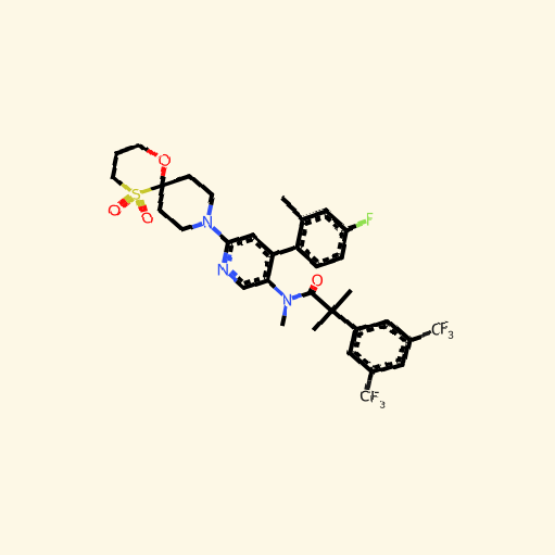 Cc1cc(F)ccc1-c1cc(N2CCC3(CC2)OCCCS3(=O)=O)ncc1N(C)C(=O)C(C)(C)c1cc(C(F)(F)F)cc(C(F)(F)F)c1